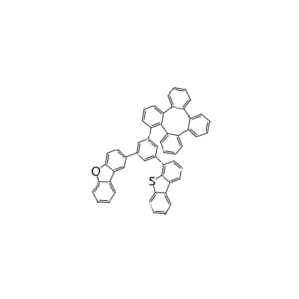 c1ccc2c(c1)-c1ccccc1-c1cccc(-c3cc(-c4ccc5oc6ccccc6c5c4)cc(-c4cccc5c4sc4ccccc45)c3)c1-c1ccccc1-2